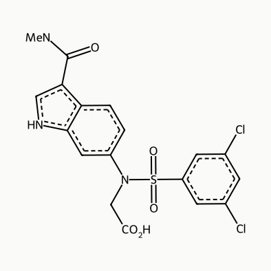 CNC(=O)c1c[nH]c2cc(N(CC(=O)O)S(=O)(=O)c3cc(Cl)cc(Cl)c3)ccc12